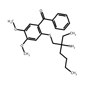 CCCCC(N)(CC)CSc1cc(OC)c(OC)cc1C(=O)c1ccccc1